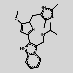 COC1=CC(c2[nH]c3ccccc3c2CNC(C)C)=NC1Cc1[nH]c(C)cc1C